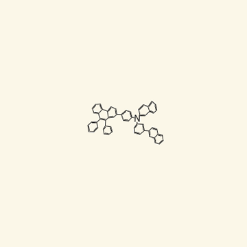 c1ccc(-c2c(-c3ccccc3)c3cc(-c4ccc(N(c5cccc(-c6ccc7ccccc7c6)c5)c5ccc6ccccc6c5)cc4)ccc3c3ccccc23)cc1